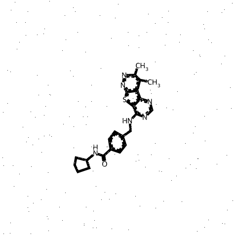 Cc1nnc2sc3c(NCc4ccc(C(=O)NC5CCCC5)cc4)ncnc3c2c1C